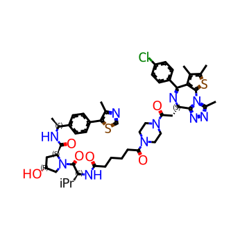 Cc1ncsc1-c1ccc([C@H](C)NC(=O)[C@@H]2C[C@@H](O)CN2C(=O)[C@@H](NC(=O)CCCCC(=O)N2CCN(C(=O)C[C@@H]3N=C(c4ccc(Cl)cc4)c4c(sc(C)c4C)-n4c(C)nnc43)CC2)C(C)C)cc1